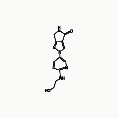 O=C1NCc2nn(-c3ccc(NCCO)nc3)cc21